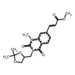 COC(=O)C=Cc1ccc2c(=O)n(CC3COC(C)(C)O3)c(=O)n(C)c2c1